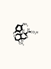 C[C@H]1COC[C@]2(c3cc(N)ccc3F)NC(NC(=O)O)SC[C@H]12